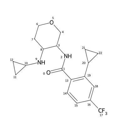 O=C(NC1COCCC1NC1CC1)c1ccc(C(F)(F)F)cc1C1CC1